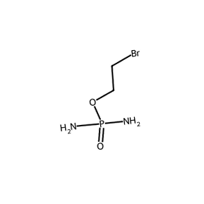 NP(N)(=O)OCCBr